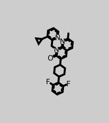 Cc1ccc2cc(C3CCC(c4c(F)cccc4F)CC3)c(=O)n(Cc3ncccc3C3CC3)c2n1